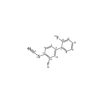 N#CSc1ccc(-c2ccccc2F)cc1F